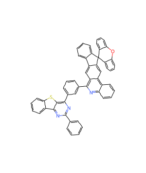 c1ccc(-c2nc(-c3cccc(-c4nc5ccccc5c5cc6c(cc45)-c4ccccc4C64c5ccccc5Oc5ccccc54)c3)c3sc4ccccc4c3n2)cc1